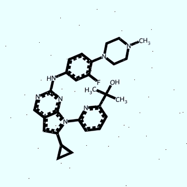 CN1CCN(c2ccc(Nc3ncc4cc(C5CC5)n(-c5cccc(C(C)(C)O)n5)c4n3)cc2F)CC1